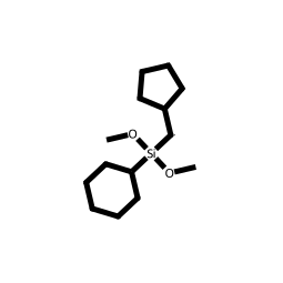 CO[Si]([CH]C1CCCC1)(OC)C1CCCCC1